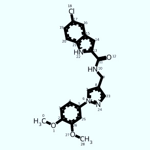 COc1ccc(-n2cc(CNC(=O)c3cc4cc(Cl)ccc4[nH]3)cn2)cc1OC